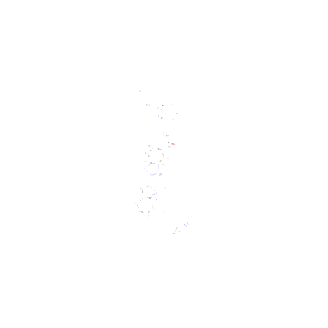 Cn1c(-c2cc3cccc(OCC4CCNC4=O)c3n2CC2CC2)nc2cc3c(cc21)CCN(C[C@@H](CF)NC(=O)OC(C)(C)C)C3=O